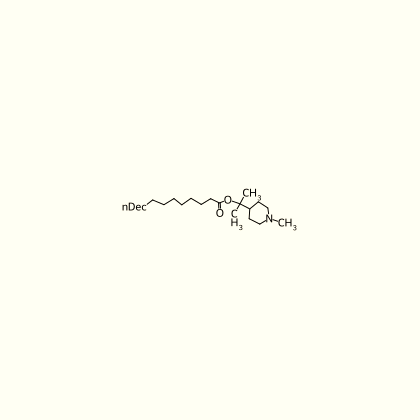 CCCCCCCCCCCCCCCCCC(=O)OC(C)(C)C1CCN(C)CC1